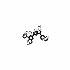 O=C(O)N1CCCC1c1cc(-c2cnc3[nH]cc(-c4ccn5ccnc5c4)c3c2)cc2c1COCC2